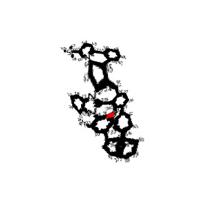 CC(C)c1cc(-c2ccccc2)cc(C(C)C)c1-n1c2[n+](c3ccccc31)C1=C(Cc3ccc4c(oc5cc(-c6ccccc6)ccc54)c3-2)C2c3ccccc3-c3ccc([Si](C)(C)C)c[n+]3C2C1